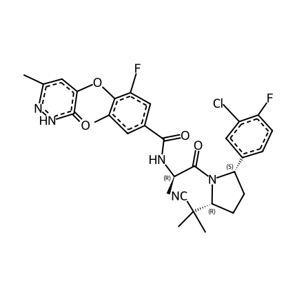 Cc1cc(Oc2c(C)cc(C(=O)N[C@H](C)C(=O)N3[C@H](c4ccc(F)c(Cl)c4)CC[C@@H]3C(C)(C)C#N)cc2F)c(=O)[nH]n1